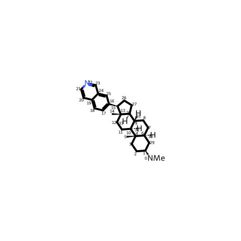 CN[C@H]1CC[C@@]2(C)[C@@H](CC[C@@H]3[C@@H]2CC[C@]2(C)[C@@H](c4ccc5ccncc5c4)CC[C@@H]32)C1